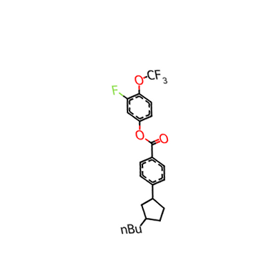 CCCCC1CCC(c2ccc(C(=O)Oc3ccc(OC(F)(F)F)c(F)c3)cc2)C1